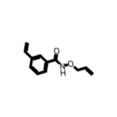 C=CCONC(=O)c1cccc(C=C)c1